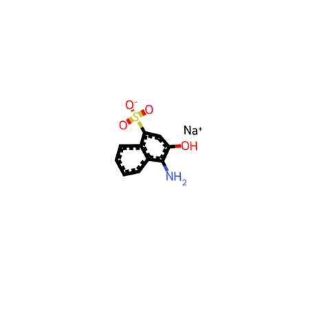 Nc1c(O)cc(S(=O)(=O)[O-])c2ccccc12.[Na+]